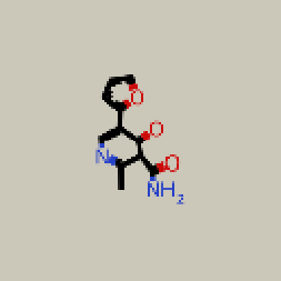 CC1=NC=C(c2ccco2)C(=O)C1C(N)=O